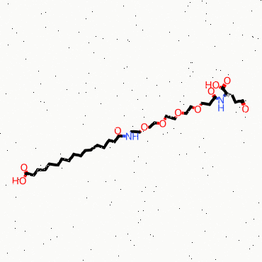 O=[C]CC[C@H](NC(=O)CCOCCOCCOCCOCCNC(=O)CCCCCCCCCCCCCCCC(=O)O)C(=O)O